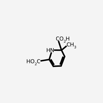 CC1(C(=O)O)C=CC=C(C(=O)O)N1